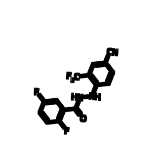 N#Cc1ccc(NNC(=O)c2cc(F)ccc2F)c(C(F)(F)F)c1